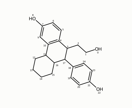 OCCC1c2ccc(O)cc2C2CCCCC2C1c1ccc(O)cc1